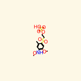 CONc1cc(C)c(S(=O)(=O)CCOS(=O)(=O)O)cc1OC